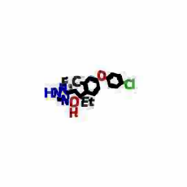 CC[C@@](O)(Cc1nc[nH]n1)c1ccc(Oc2ccc(Cl)cc2)cc1C(F)(F)F